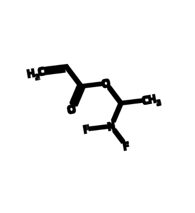 C=CC(=O)OC(C)N(F)F